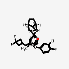 Cc1cc(N2C[C@H]3CC[C@@H](C2)[C@H]3Nc2nc(Oc3ccc(F)c(Cl)c3)n(CC3CC(F)(F)C3)n2)ncn1